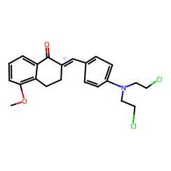 COc1cccc2c1CC/C(=C\c1ccc(N(CCCl)CCCl)cc1)C2=O